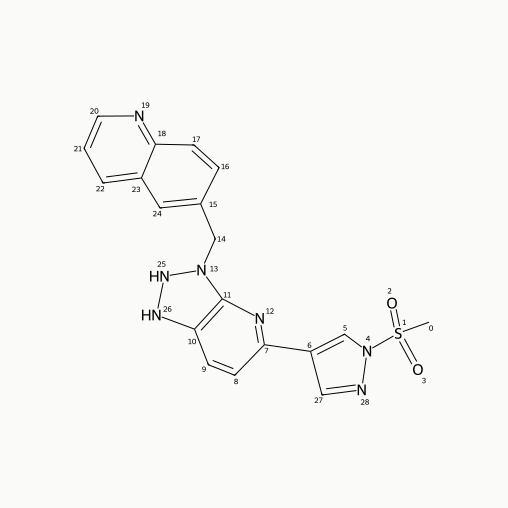 CS(=O)(=O)n1cc(-c2ccc3c(n2)N(Cc2ccc4ncccc4c2)NN3)cn1